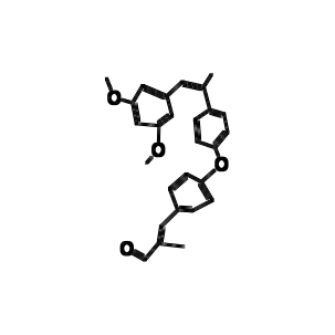 COc1cc(/C=C(/C)c2ccc(Oc3ccc(/C=C(\C)C=O)cc3)cc2)cc(OC)c1